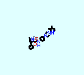 CCn1c(C)cc(-c2ccccc2)c1C(=O)C(=O)Nc1ccc(N2CCN(c3nccc(C)c3C)CC2)cc1